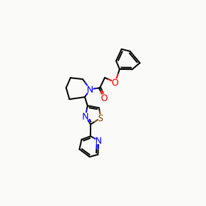 O=C(COc1ccccc1)N1CCCCC1c1csc(-c2ccccn2)n1